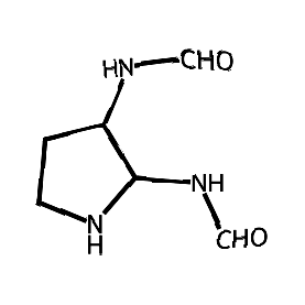 O=CNC1CCNC1NC=O